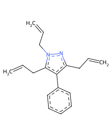 C=CCc1nn(CC=C)c(CC=C)c1-c1ccccc1